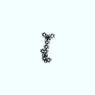 c1ccc(-c2nc(-c3ccccc3)nc(-c3ccc(-c4ccc(-c5ccc(-c6nc7c(ccc8oc9ccccc9c87)o6)c6ccccc56)cc4)cc3)n2)cc1